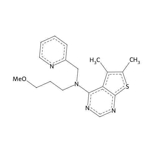 COCCCN(Cc1ccccn1)c1ncnc2sc(C)c(C)c12